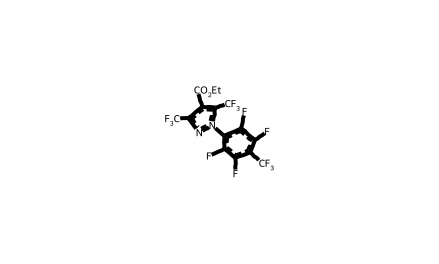 CCOC(=O)c1c(C(F)(F)F)nn(-c2c(F)c(F)c(C(F)(F)F)c(F)c2F)c1C(F)(F)F